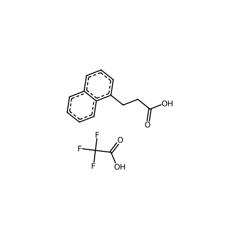 O=C(O)C(F)(F)F.O=C(O)CCc1cccc2ccccc12